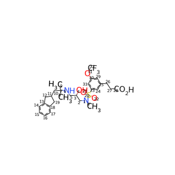 CN(CC(O)CNC(C)(C)CC1Cc2ccccc2C1)S(=O)(=O)c1cc(CCC(=O)O)cc(OC(F)(F)F)c1